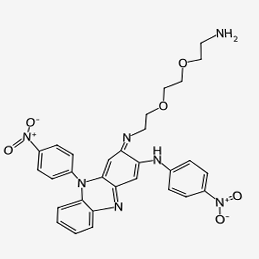 NCCOCCOCC/N=c1/cc2n(-c3ccc([N+](=O)[O-])cc3)c3ccccc3nc-2cc1Nc1ccc([N+](=O)[O-])cc1